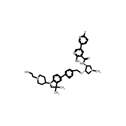 CN1C[C@H](NC(=O)c2cc(-c3ccc(F)nc3)cnc2N)[C@@H](OCc2ccc(-c3ccc4c(c3)C(C)(C)CN4C3CCN(CCO)CC3)cc2)C1